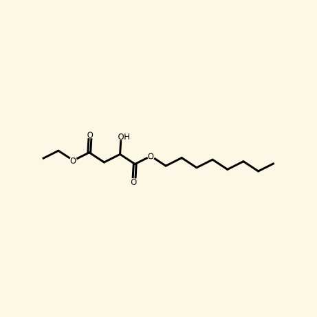 CCCCCCCCOC(=O)C(O)CC(=O)OCC